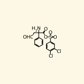 NC(CC=O)(C(=O)OS(=O)(=O)c1ccc(Cl)c(Cl)c1)c1ccccc1